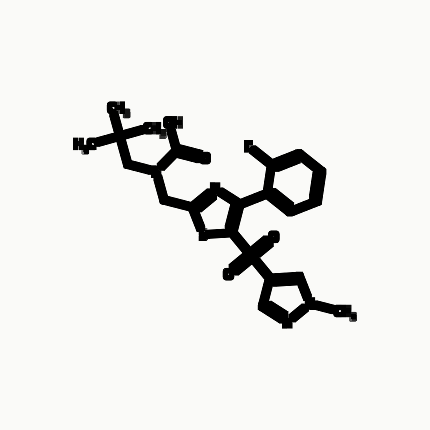 Cn1cc(S(=O)(=O)c2sc(CN(CC(C)(C)C)C(=O)O)nc2-c2ccccc2F)cn1